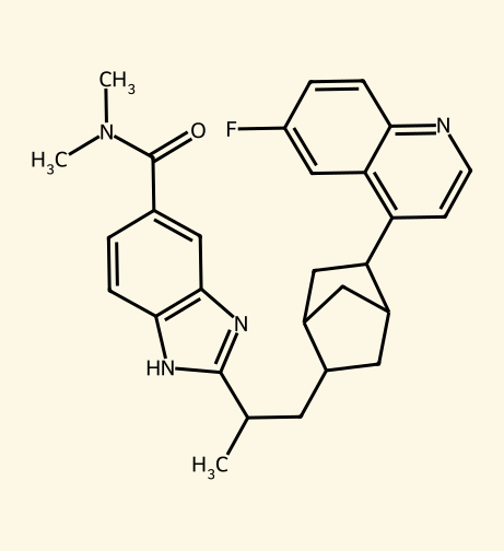 CC(CC1CC2CC1CC2c1ccnc2ccc(F)cc12)c1nc2cc(C(=O)N(C)C)ccc2[nH]1